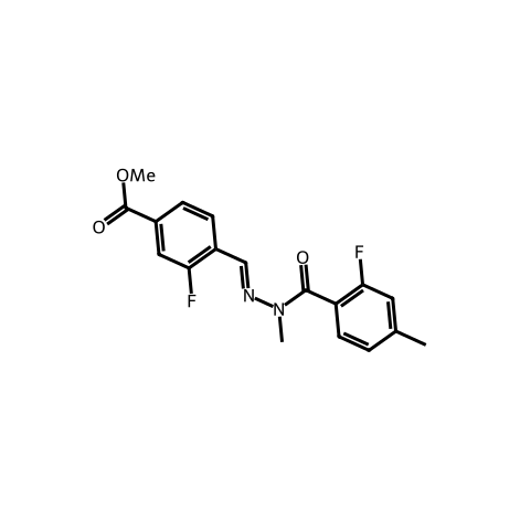 COC(=O)c1ccc(/C=N/N(C)C(=O)c2ccc(C)cc2F)c(F)c1